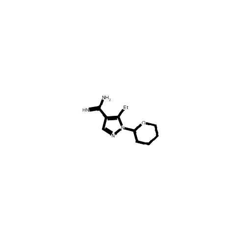 CCc1c(C(=N)N)cnn1C1CCCCO1